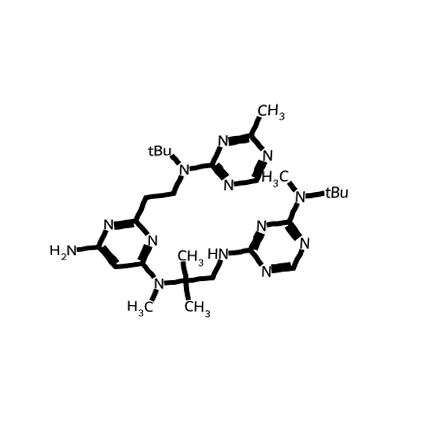 Cc1ncnc(N(CCc2nc(N)cc(N(C)C(C)(C)CNc3ncnc(N(C)C(C)(C)C)n3)n2)C(C)(C)C)n1